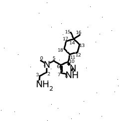 CN(CCN)Cc1c[nH]nc1C1CCC(C)(C)CC1